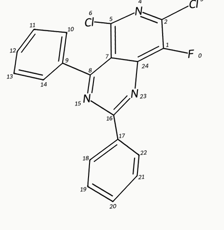 Fc1c(Cl)nc(Cl)c2c(-c3ccccc3)nc(-c3ccccc3)nc12